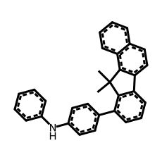 CC1(C)c2c(-c3ccc(Nc4ccccc4)cc3)cccc2-c2ccc3ccccc3c21